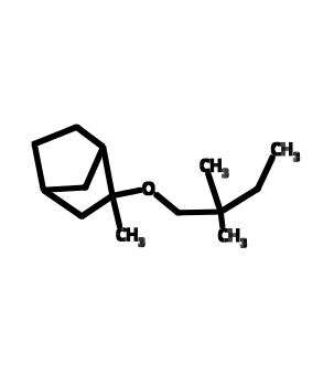 CCC(C)(C)COC1(C)CC2CCC1C2